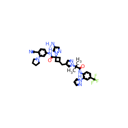 CC(C)(C(=O)Nc1ccc(C(F)(F)F)cc1-n1cccn1)n1cc(CC2CC(C(=O)Nc3ccc(C#N)c(N4CCCC4)c3)(n3cc(N)cn3)C2)cn1